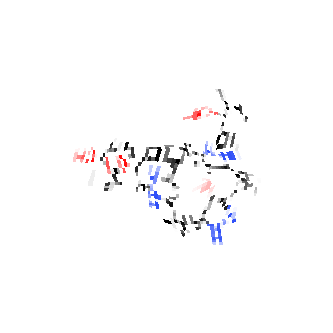 CC(C)O.CC(C)O.CC(C)O.Cc1n[nH]c(C)c1B(c1c(C)n[nH]c1C)c1c(C)n[nH]c1C.[Ti]